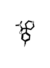 CN(C)C(=O)C1(c2ccc(F)cc2)CC[N]CC1